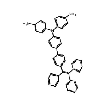 Nc1ccc(N(c2ccc(N)cc2)c2ccc(-c3ccc(C(=C(c4ccccc4)c4ccccc4)c4ccccc4)cc3)cc2)cc1